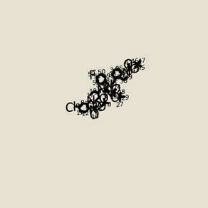 CC(=O)OC1CN(c2cc(Cl)ccc2[N+](=O)[O-])CCC1n1/c(=N/C(=O)OC(C)(C)C)n(Cc2cccc3c2ccn3C(=O)OC(C)(C)C)c2ccc(F)cc21